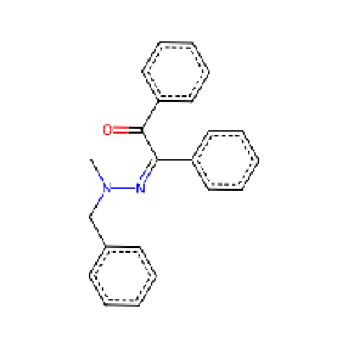 CN(Cc1ccccc1)N=C(C(=O)c1ccccc1)c1ccccc1